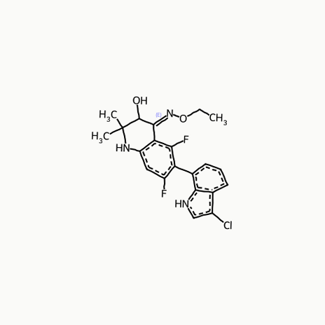 CCO/N=C1\c2c(cc(F)c(-c3cccc4c(Cl)c[nH]c34)c2F)NC(C)(C)C1O